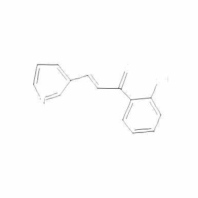 O=C(C=Cc1cccnc1)c1ccccc1O